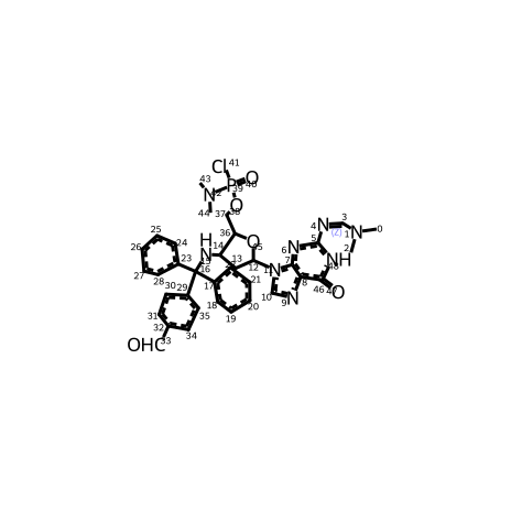 CN(C)/C=N\c1nc2c(ncn2C2CC(NC(c3ccccc3)(c3ccccc3)c3ccc(C=O)cc3)C(COP(=O)(Cl)N(C)C)O2)c(=O)[nH]1